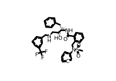 CS(=O)(=O)N(Cc1ccccc1C(=O)N[C@@H](Cc1ccccc1)[C@H](O)CNCc1cccc(C(F)(F)F)c1)c1ccccc1